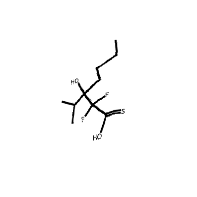 CCCCC(O)(C(C)C)C(F)(F)C(O)=S